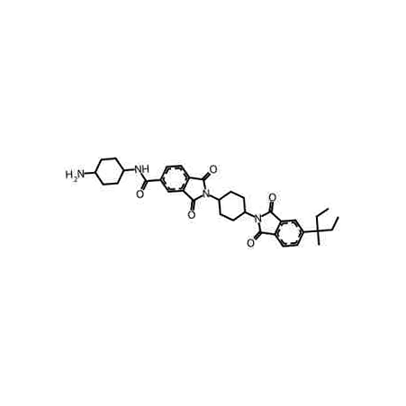 CCC(C)(CC)c1ccc2c(c1)C(=O)N(C1CCC(N3C(=O)c4ccc(C(=O)NC5CCC(N)CC5)cc4C3=O)CC1)C2=O